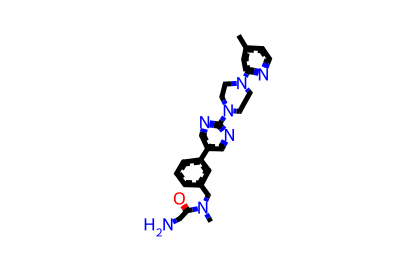 Cc1ccnc(N2CCN(c3ncc(-c4cccc(CN(C)C(=O)CN)c4)cn3)CC2)c1